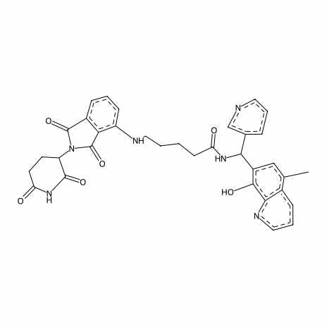 Cc1cc(C(NC(=O)CCCCNc2cccc3c2C(=O)N(C2CCC(=O)NC2=O)C3=O)c2cccnc2)c(O)c2ncccc12